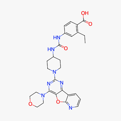 CCc1cc(NC(=O)NC2CCN(c3nc(N4CCOCC4)c4oc5ncccc5c4n3)CC2)ccc1C(=O)O